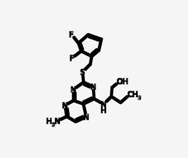 CCC(CO)Nc1nc(SCc2cccc(F)c2F)nc2nc(N)cnc12